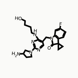 NC1CCN(c2ncc(CN3C(=O)C4(CC4)c4ccc(F)cc43)c(NCCCCO)n2)C1